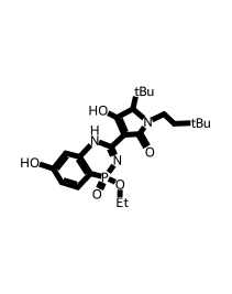 CCOP1(=O)N=C(C2=C(O)C(C(C)(C)C)N(CCC(C)(C)C)C2=O)Nc2cc(O)ccc21